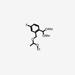 CCOC(C)OCc1cc(F)ccc1C(OC)OC